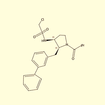 CC(C)C(=O)N1CC[C@H](NS(=O)(=O)CCl)[C@@H]1Cc1cccc(-c2ccccc2)c1